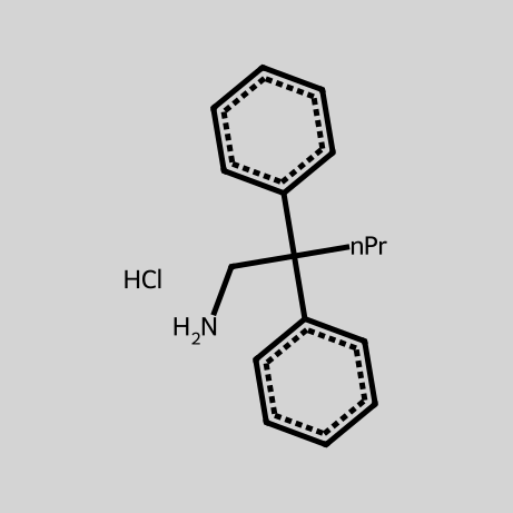 CCCC(CN)(c1ccccc1)c1ccccc1.Cl